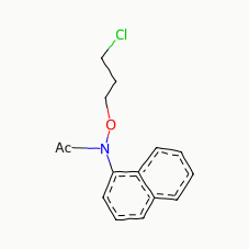 CC(=O)N(OCCCCl)c1cccc2ccccc12